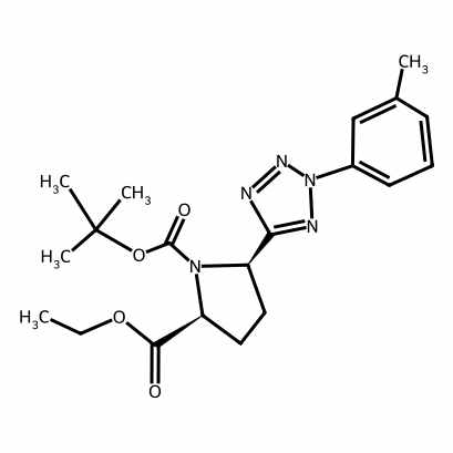 CCOC(=O)[C@@H]1CC[C@H](c2nnn(-c3cccc(C)c3)n2)N1C(=O)OC(C)(C)C